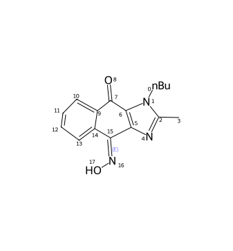 CCCCn1c(C)nc2c1C(=O)c1ccccc1/C2=N\O